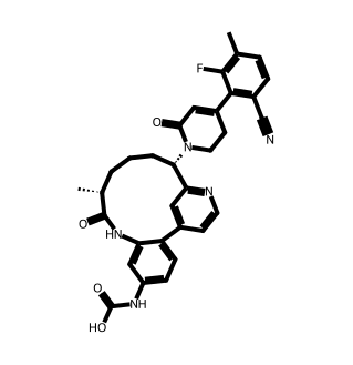 Cc1ccc(C#N)c(C2=CC(=O)N([C@H]3CCC[C@@H](C)C(=O)Nc4cc(NC(=O)O)ccc4-c4ccnc3c4)CC2)c1F